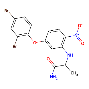 CC(Nc1cc(Oc2ccc(Br)cc2Br)ccc1[N+](=O)[O-])C(N)=O